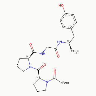 CCCCCC(=O)N1CCC[C@H]1C(=O)N1CCC[C@H]1C(=O)NCC(=O)N[C@@H](Cc1ccc(O)cc1)C(=O)O